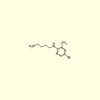 Cc1cc(Br)cnc1NCCCCN